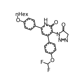 CCCCCCOc1ccc(-c2cc(-c3ccc(OC(F)F)cc3)c(N3N=NCC3=O)c(=O)[nH]2)cc1